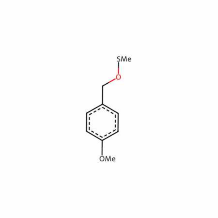 COc1ccc(COSC)cc1